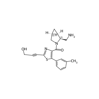 Cc1cccc(-c2sc(C#CCO)nc2C(=O)N2C[C@H]3C[C@H]3[C@H]2CN)c1